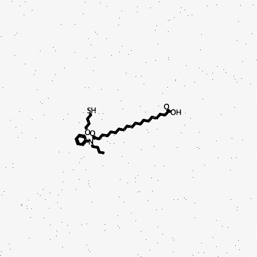 CCCCN(C(=O)CCCCCCCCCCCCCCCCCC(=O)O)c1ccccc1OCCCCS